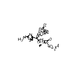 C#C[C@@H]1[C@H](NC(=O)C(=NOC)c2csc(N)n2)C(=O)N1S(=O)(=O)O.CCN(CC)CC